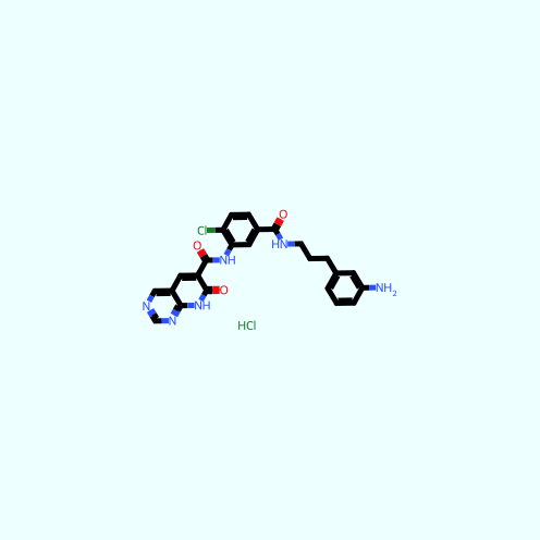 Cl.Nc1cccc(CCCNC(=O)c2ccc(Cl)c(NC(=O)c3cc4cncnc4[nH]c3=O)c2)c1